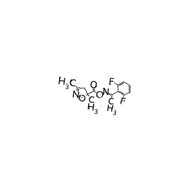 CC1=NOC(C)(C(=O)O/N=C(\C)c2c(F)cccc2F)C1